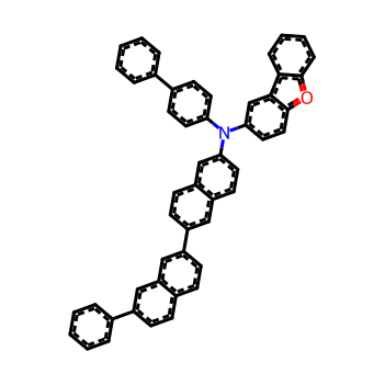 c1ccc(-c2ccc(N(c3ccc4cc(-c5ccc6ccc(-c7ccccc7)cc6c5)ccc4c3)c3ccc4oc5ccccc5c4c3)cc2)cc1